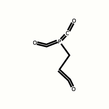 O=C=CCP(=C=O)=C=O